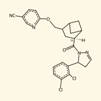 N#Cc1ccc(OCC2C[C@H](C(=O)N3N=CCC3c3cccc(Cl)c3Cl)C3CC2C3)nc1